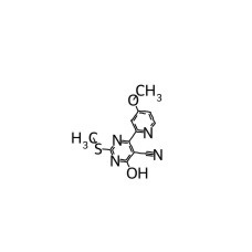 COc1ccnc(-c2nc(SC)nc(O)c2C#N)c1